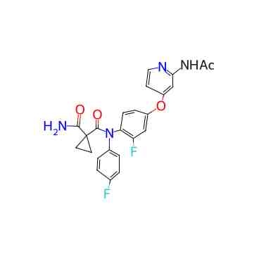 CC(=O)Nc1cc(Oc2ccc(N(C(=O)C3(C(N)=O)CC3)c3ccc(F)cc3)c(F)c2)ccn1